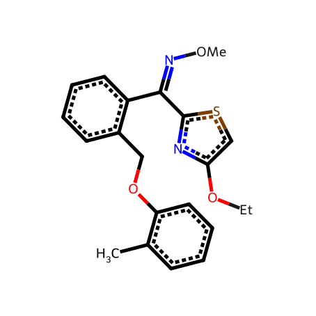 CCOc1csc(C(=NOC)c2ccccc2COc2ccccc2C)n1